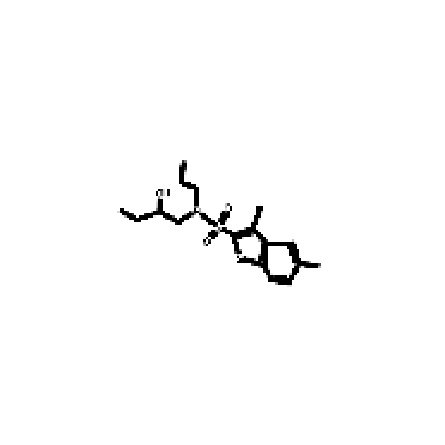 CCCN(CC(O)CC)S(=O)(=O)c1sc2ccc(F)cc2c1C